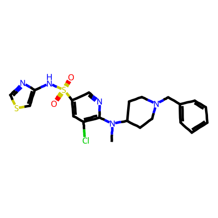 CN(c1ncc(S(=O)(=O)Nc2cscn2)cc1Cl)C1CCN(Cc2ccccc2)CC1